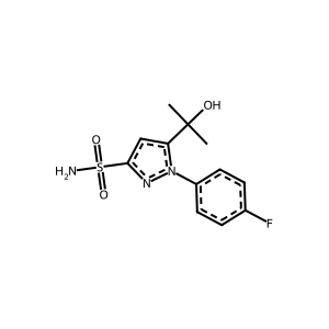 CC(C)(O)c1cc(S(N)(=O)=O)nn1-c1ccc(F)cc1